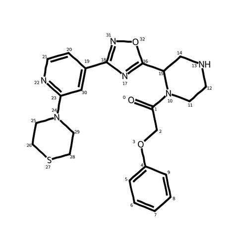 O=C(COc1ccccc1)N1CCNCC1c1nc(-c2ccnc(N3CCSCC3)c2)no1